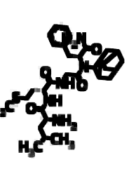 CSCC[C@@H](NC(=O)[C@@H](N)CC(C)C)C(=O)NCC(=O)N(C1C2CC3CC(C2)CC1C3)[C@@H](Cc1ccccc1)C(N)=O